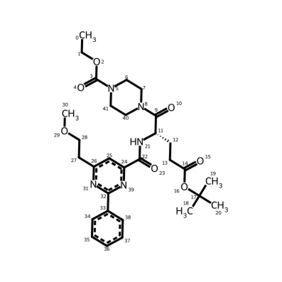 CCOC(=O)N1CCN(C(=O)[C@H](CCC(=O)OC(C)(C)C)NC(=O)c2cc(CCOC)nc(-c3ccccc3)n2)CC1